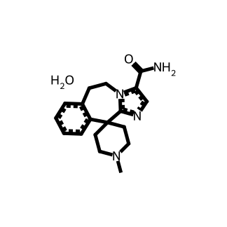 CN1CCC2(CC1)c1ccccc1CCn1c(C(N)=O)cnc12.O